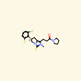 Cn1c(CCC(=O)N2CCCC2)c2n(c1=S)C[C@@H](c1c(F)cccc1F)C2